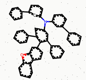 c1ccc(-c2cccc(N(c3cccc(-c4ccccc4)c3)c3cc(-c4ccccc4)c(-c4ccc5c(c4)oc4ccccc45)c(-c4ccccc4)c3)c2)cc1